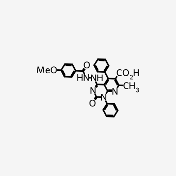 COc1ccc(C(=O)NNc2nc(=O)n(-c3ccccc3)c3nc(C)c(C(=O)O)c(-c4ccccc4)c23)cc1